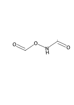 O=[C]NOC=O